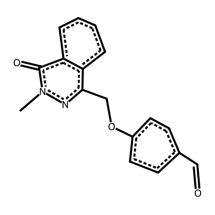 Cn1nc(COc2ccc(C=O)cc2)c2ccccc2c1=O